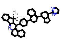 CC1(C)c2ccccc2C2=Nc3ccc4ccccc4c3C(c3ccc(-c4ccc(-c5ccc(-c6ncccn6)c6c5C=CC6)c5ccccc45)cc3)C21